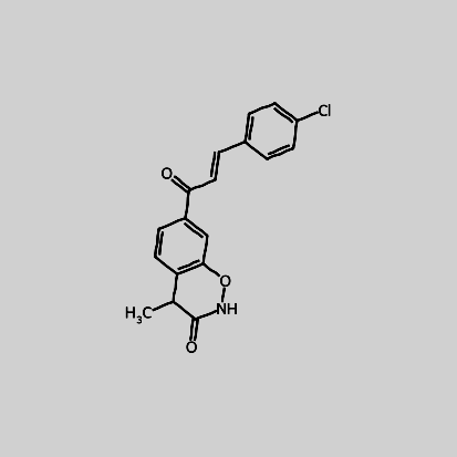 CC1C(=O)NOc2cc(C(=O)C=Cc3ccc(Cl)cc3)ccc21